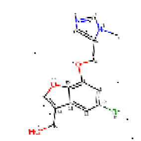 Cn1cncc1COc1cc(Br)cc2c(CO)coc12